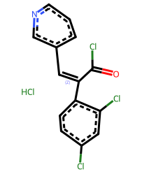 Cl.O=C(Cl)/C(=C\c1cccnc1)c1ccc(Cl)cc1Cl